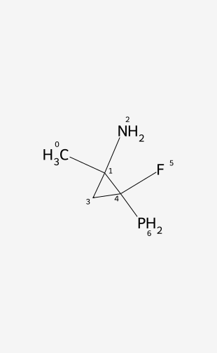 CC1(N)CC1(F)P